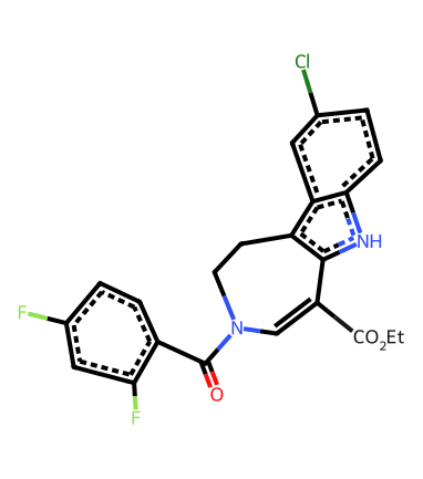 CCOC(=O)C1=CN(C(=O)c2ccc(F)cc2F)CCc2c1[nH]c1ccc(Cl)cc21